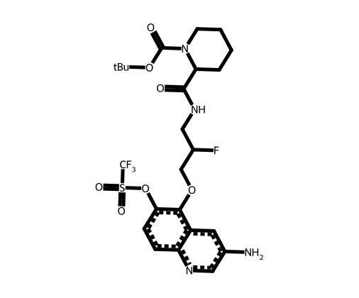 CC(C)(C)OC(=O)N1CCCCC1C(=O)NCC(F)COc1c(OS(=O)(=O)C(F)(F)F)ccc2ncc(N)cc12